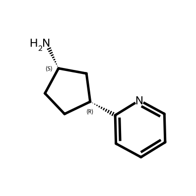 N[C@H]1CC[C@@H](c2ccccn2)C1